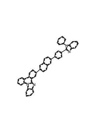 c1ccc(-n2c(-c3ccc(-c4ccc5cc(-c6ccc7c8ccccc8n8c9ccccc9nc8c7c6)ccc5c4)cc3)nc3ccccc32)cc1